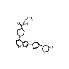 CCNC(=O)N1CCN(c2ccnn3cc(C4C=CC([C@]5(F)CCCNC5)=CC4)cc23)CC1